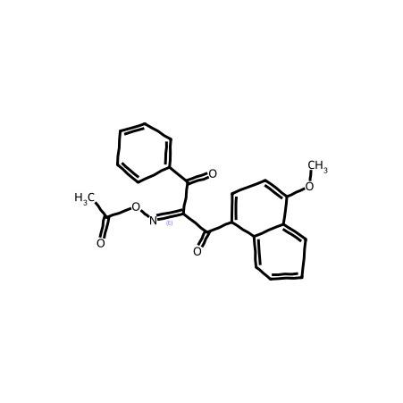 COc1ccc(C(=O)/C(=N/OC(C)=O)C(=O)c2ccccc2)c2ccccc12